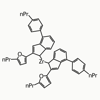 CCCc1ccc(-c2cccc3c2C=C(c2ccc(CCC)o2)[CH]3[Zr][CH]2C(c3ccc(CCC)o3)=Cc3c(-c4ccc(CCC)cc4)cccc32)cc1